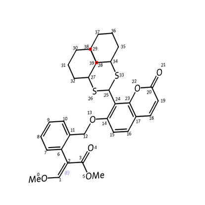 CO/C=C(/C(=O)OC)c1ccccc1COc1ccc2ccc(=O)oc2c1C(SC1CCCCC1)SC1CCCCC1